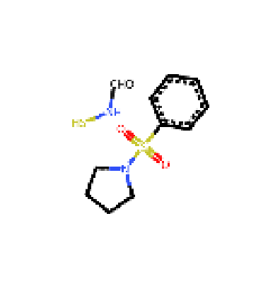 O=CNS.O=S(=O)(c1ccccc1)N1CCCC1